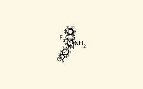 Nc1nc(N2CCC3(CCOC3)CC2)cnc1Sc1cccnc1C(F)(F)F